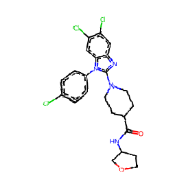 O=C(NC1CCOC1)C1CCN(c2nc3cc(Cl)c(Cl)cc3n2-c2ccc(Cl)cc2)CC1